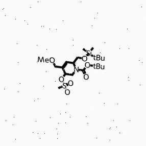 COCC1=CC(CO[Si](C)(C)C(C)(C)C)N(C(=O)OC(C)(C)C)CC1OS(C)(=O)=O